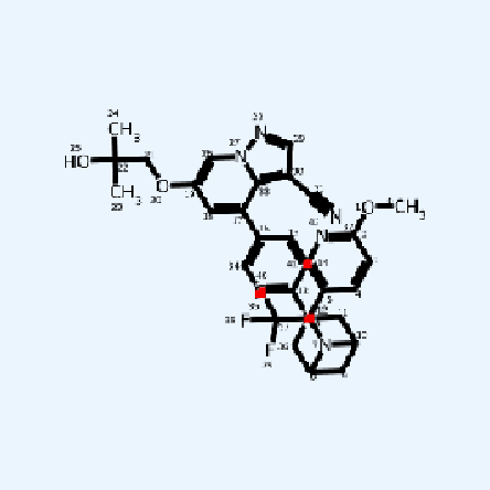 COc1ccc(C(N2C3CC2CN(c2ccc(-c4cc(OCC(C)(C)O)cn5ncc(C#N)c45)cn2)C3)C(F)(F)F)cn1